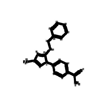 NC(=O)c1ccc(-n2cc(C(F)(F)F)nc2OCc2ccccc2)cc1